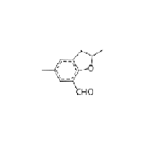 Cc1cc(C=O)c2c(c1)CC(C)O2